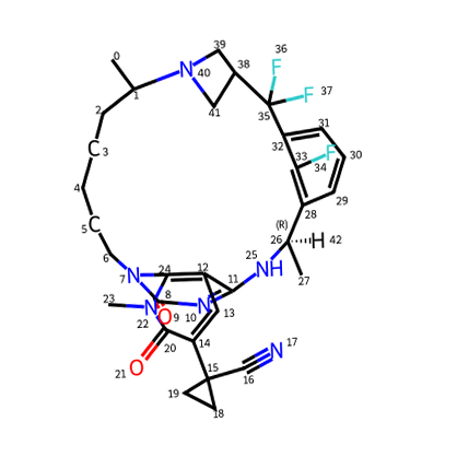 CC1CCCCCn2c(=O)nc(c3cc(C4(C#N)CC4)c(=O)n(C)c32)N[C@H](C)c2cccc(c2F)C(F)(F)C2CN1C2